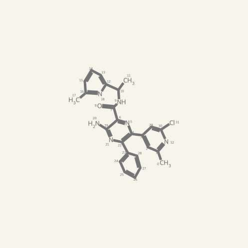 Cc1cc(-c2nc(C(=O)NC(C)c3cccc(C)n3)c(N)nc2-c2ccccc2)cc(Cl)n1